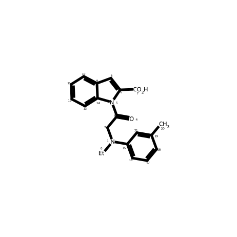 CCN(CC(=O)n1c(C(=O)O)cc2ccccc21)c1cccc(C)c1